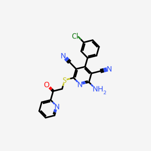 N#Cc1c(N)nc(SCC(=O)c2ccccn2)c(C#N)c1-c1cccc(Cl)c1